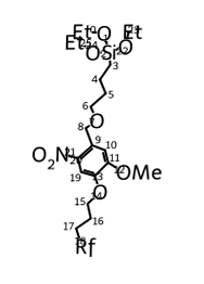 CCO[Si](CCCCOCc1cc(OC)c(OCC[CH2][Rf])cc1[N+](=O)[O-])(OCC)OCC